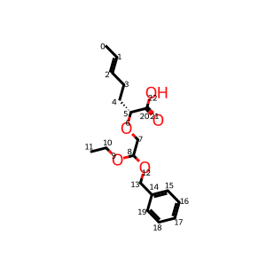 C/C=C/CC[C@@H](OCC(OCC)OCc1ccccc1)C(=O)O